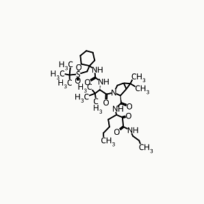 CCCCC(NC(=O)[C@@H]1C2C(CN1C(=O)[C@@H](NC(=O)NC1(CS(=O)(=O)C(C)(C)C)CCCCC1)C(C)(C)C)C2(C)C)C(=O)C(=O)NCCC